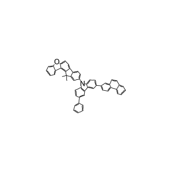 CC1(C)c2cc(-n3c4ccc(-c5ccccc5)cc4c4cc(-c5ccc6c(ccc7ccccc76)c5)ccc43)ccc2-c2ccc3oc4ccccc4c3c21